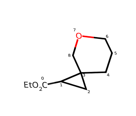 CCOC(=O)C1CC12CCCOC2